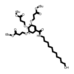 CC(C)(C)OC(=O)CCO[C@@H]1[C@H](OCCC(=O)OC(C)(C)C)C=C(C(=O)NCCCCCCCCCCCO)C[C@H]1OCCC(=O)OC(C)(C)C